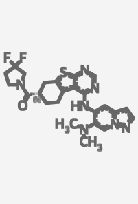 CN(C)c1cn2nccc2cc1Nc1ncnc2sc3c(c12)CC[C@H](C(=O)N1CCC(F)(F)C1)C3